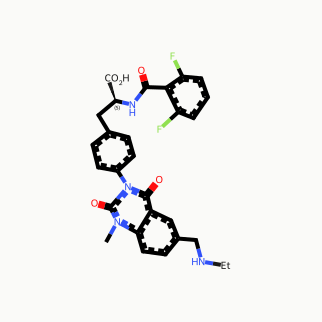 CCNCc1ccc2c(c1)c(=O)n(-c1ccc(C[C@H](NC(=O)c3c(F)cccc3F)C(=O)O)cc1)c(=O)n2C